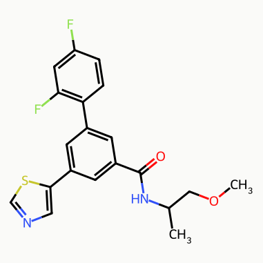 COCC(C)NC(=O)c1cc(-c2cncs2)cc(-c2ccc(F)cc2F)c1